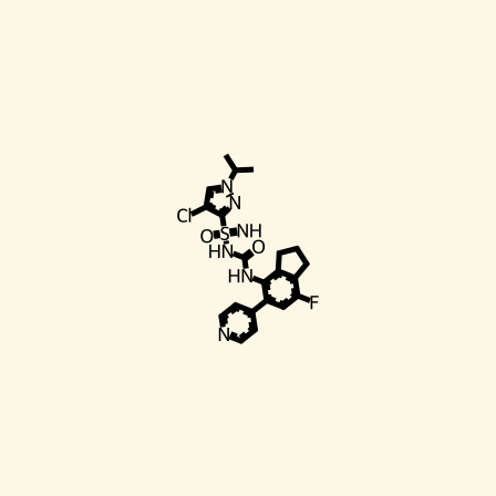 CC(C)n1cc(Cl)c(S(=N)(=O)NC(=O)Nc2c(-c3ccncc3)cc(F)c3c2CCC3)n1